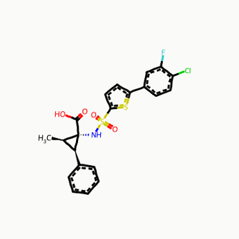 C[C@@H]1[C@H](c2ccccc2)[C@]1(NS(=O)(=O)c1ccc(-c2ccc(Cl)c(F)c2)s1)C(=O)O